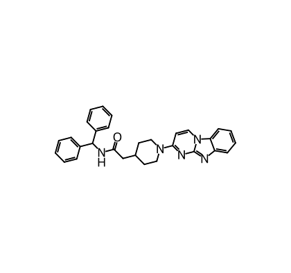 O=C(CC1CCN(c2ccn3c(n2)nc2ccccc23)CC1)NC(c1ccccc1)c1ccccc1